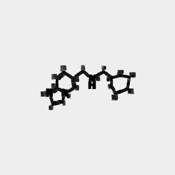 c1cn2cc(CNCC3CCCCC3)ccc2n1